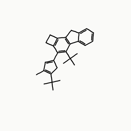 CC1=C(C(C)(C)C)CC(c2c3c(c4c(c2C(C)(C)C)-c2ccccc2[CH]4)CC3)=C1